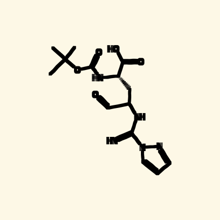 CC(C)(C)OC(=O)N[C@@H](CC(C=O)NC(=N)n1cccn1)C(=O)O